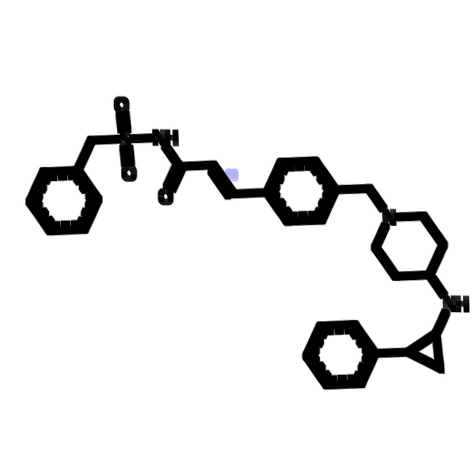 O=C(/C=C/c1ccc(CN2CCC(NC3CC3c3ccccc3)CC2)cc1)NS(=O)(=O)Cc1ccccc1